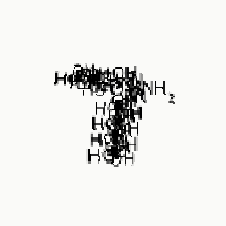 Nc1ncnc2c1ncn2[C@@H]1O[C@H](CO)[C@@H](O)[C@H]1O.O=P(O)(O)O.O=P(O)(O)O.O=P(O)(O)O.O=P(O)(O)O.O=P(O)(O)O.O=P(O)(O)O